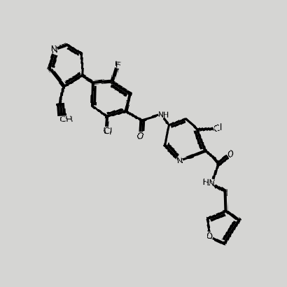 C#Cc1cnccc1-c1cc(Cl)c(C(=O)Nc2cnc(C(=O)NCc3ccoc3)c(Cl)c2)cc1F